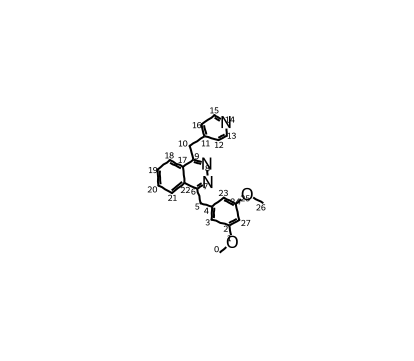 COc1cc(Cc2nnc(Cc3ccncc3)c3ccccc23)cc(OC)c1